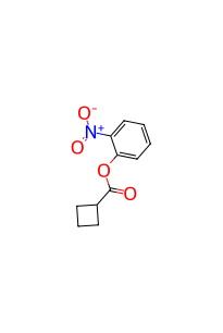 O=C(Oc1ccccc1[N+](=O)[O-])C1CCC1